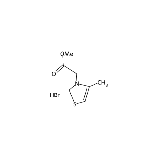 Br.COC(=O)CN1CSC=C1C